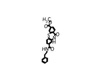 COC(=O)c1ccc2c(c1)Sc1ccc(C(=O)NCCc3ccccc3)cc1NC2=O